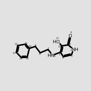 O=c1[nH]ccc(NCCCc2ccccc2)c1O